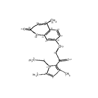 CCn1c(C)cc(C)c1C(=O)COc1ccc2c(C)cc(=O)oc2c1